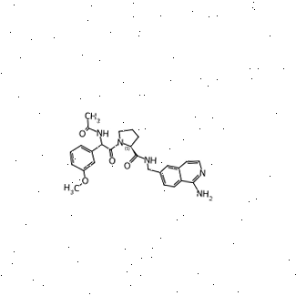 COc1cccc(C(NC(C)=O)C(=O)N2CCC[C@H]2C(=O)NCc2ccc3c(N)nccc3c2)c1